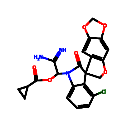 N=C(N)C(OC(=O)C1CC1)N1C(=O)C2(COc3cc4c(cc32)OCO4)c2c(Cl)cccc21